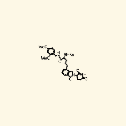 COc1ccc(CNC(=O)[C@H](CCCc2cccc3c2CN(C2CCC(=O)NC2=O)C3=O)NC(C)=O)c(OC)c1